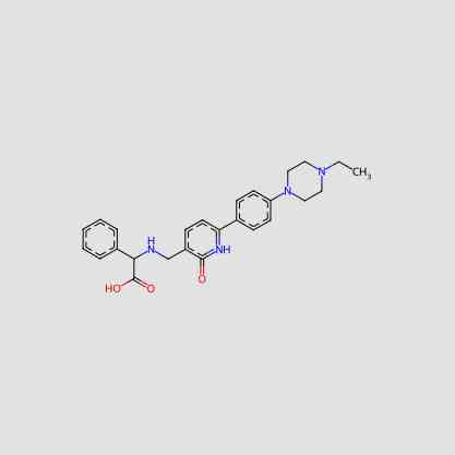 CCN1CCN(c2ccc(-c3ccc(CNC(C(=O)O)c4ccccc4)c(=O)[nH]3)cc2)CC1